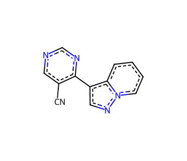 N#Cc1cncnc1-c1cnn2ccccc12